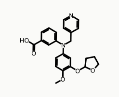 COc1ccc(N(Cc2ccncc2)c2cccc(C(=O)O)c2)cc1OC1CCCO1